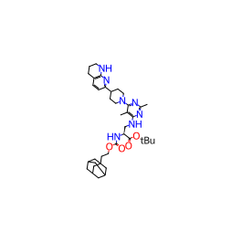 Cc1nc(NC[C@H](NC(=O)OCCC23CC4CC(CC(C4)C2)C3)C(=O)OC(C)(C)C)c(C)c(N2CCC(c3ccc4c(n3)NCCC4)CC2)n1